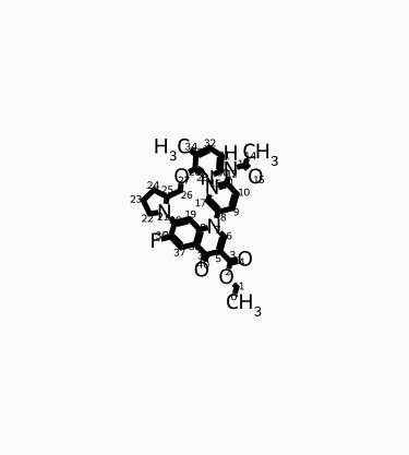 CCOC(=O)c1cn(-c2ccc(NC(C)=O)nc2)c2cc(N3CCCC3COc3ncccc3C)c(F)cc2c1=O